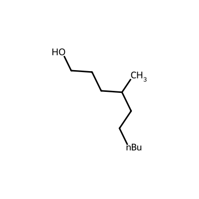 CCCCCCC(C)CCCO